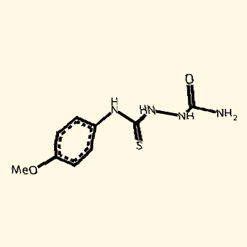 COc1ccc(NC(=S)NNC(N)=O)cc1